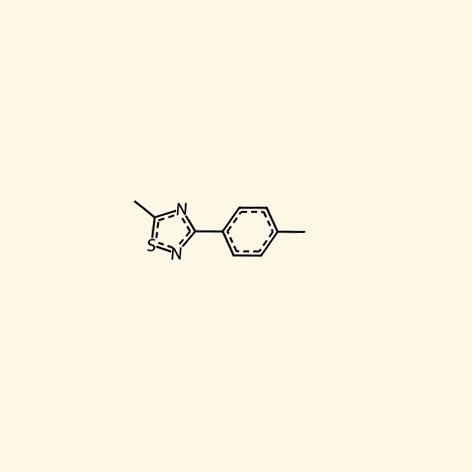 Cc1ccc(-c2nsc(C)n2)cc1